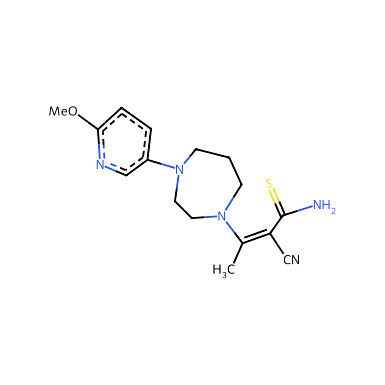 COc1ccc(N2CCCN(C(C)=C(C#N)C(N)=S)CC2)cn1